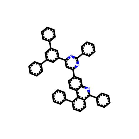 c1ccc(-c2cc(-c3ccccc3)cc(-c3cc(-c4ccc5c(c4)nc(-c4ccccc4)c4cccc(-c6ccccc6)c45)nc(-c4ccccc4)n3)c2)cc1